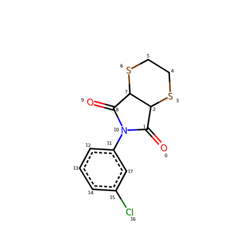 O=C1C2SCCSC2C(=O)N1c1cccc(Cl)c1